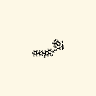 O=c1[nH]ncc(N[C@H](CCCn2ccc3cc(-c4cnc(N5CCOCC5)cn4)c(F)cc3c2=O)COC(F)F)c1C(F)(F)F